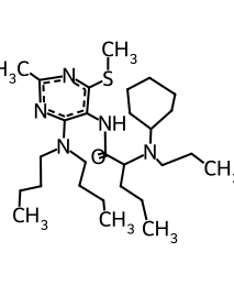 CCCCN(CCCC)c1nc(C)nc(SC)c1NC(=O)C(CCC)N(CCC)C1CCCCC1